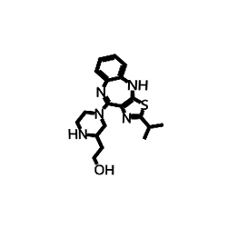 CC(C)c1nc2c(s1)Nc1ccccc1N=C2N1CCNC(CCO)C1